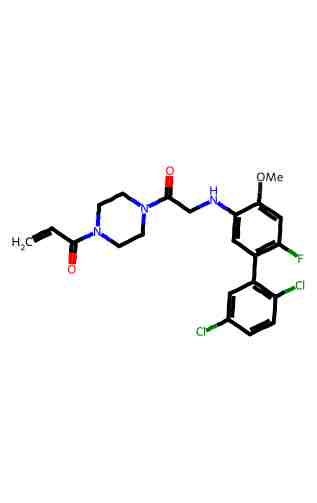 C=CC(=O)N1CCN(C(=O)CNc2cc(-c3cc(Cl)ccc3Cl)c(F)cc2OC)CC1